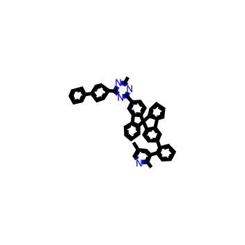 Cc1cnc(C)c(-c2ccccc2-c2ccc3c(c2)-c2ccccc2C32c3ccccc3-c3cc(-c4nc(C)nc(-c5ccc(-c6ccccc6)cc5)n4)ccc32)c1